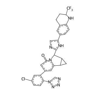 O=c1cc(-c2cc(Cl)ccc2-n2cnnn2)cc2n1C(c1ncc(-c3ccc4c(c3)CCC(C(F)(F)F)N4)[nH]1)C1CC21